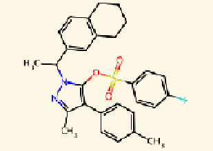 Cc1ccc(-c2c(C)nn(C(C)c3ccc4c(c3)CCCC4)c2OS(=O)(=O)c2ccc(F)cc2)cc1